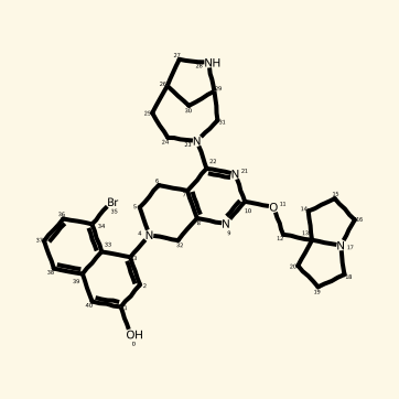 Oc1cc(N2CCc3c(nc(OCC45CCCN4CCC5)nc3N3CCC4CNC(C4)C3)C2)c2c(Br)cccc2c1